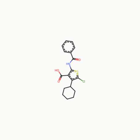 O=C(Nc1sc(Cl)c(C2CCCCC2)c1C(=O)O)c1ccccc1